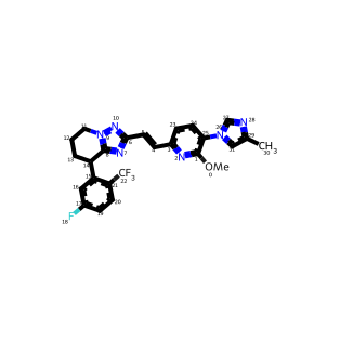 COc1nc(C=Cc2nc3n(n2)CCCC3c2cc(F)ccc2C(F)(F)F)ccc1-n1cnc(C)c1